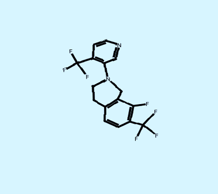 Fc1c(C(F)(F)F)ccc2c1CN(c1cnccc1C(F)(F)F)CC2